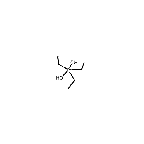 CCP(O)(O)(CC)CC